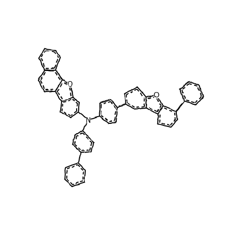 c1ccc(-c2ccc(N(c3ccc(-c4ccc5oc6c(-c7ccccc7)cccc6c5c4)cc3)c3ccc4c(c3)oc3c5ccccc5ccc43)cc2)cc1